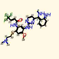 CN/C(=C1/C=CC=CC1=N)c1ccnc(Nc2cc(NC(=O)/C=C/C(F)(F)F)c(SCCN(C)C)cc2OC)n1